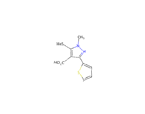 CSc1c(C(=O)O)c(-c2cc[c]s2)nn1C